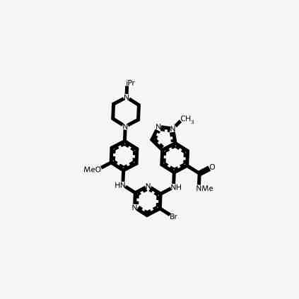 CNC(=O)c1cc2c(cnn2C)cc1Nc1nc(Nc2ccc(N3CCN(C(C)C)CC3)cc2OC)ncc1Br